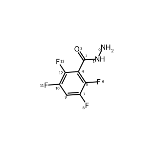 NNC(=O)c1c(F)c(F)cc(F)c1F